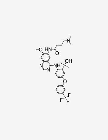 COc1cc2ncnc(Nc3ccc(Oc4cccc(C(F)(F)F)c4)cc3C(C)(C)O)c2cc1NC(=O)C=CCN(C)C